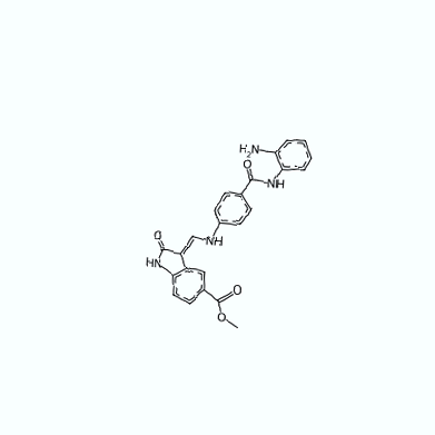 COC(=O)c1ccc2c(c1)/C(=C\Nc1ccc(C(=O)Nc3ccccc3N)cc1)C(=O)N2